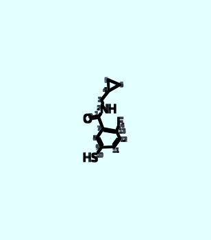 O=C(NCC1CC1)c1cc(S)ccc1F